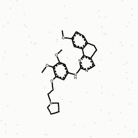 COc1ccc2c(c1)-c1nc(Nc3cc(OC)c(OC)c(OCCN4CCCC4)c3)ncc1CC2